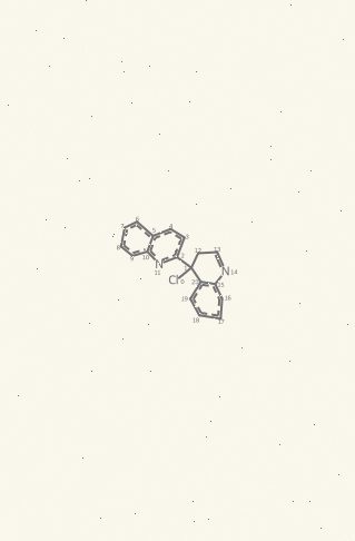 ClC1(c2ccc3ccccc3n2)CC=Nc2ccccc21